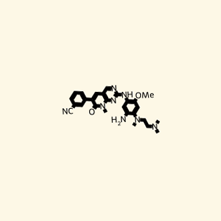 COc1cc(N(C)CCN(C)C)c(N)cc1Nc1ncc2cc(-c3cccc(C#N)c3)c(=O)n(C)c2n1